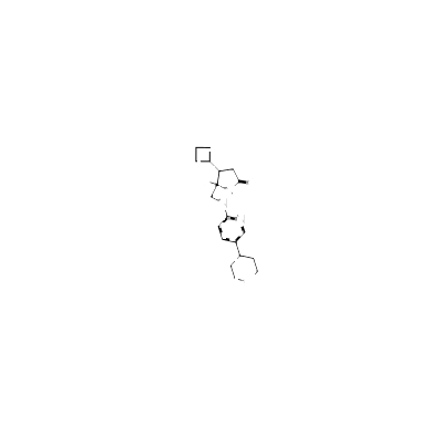 CC12CN(c3ccc(C4CCOCC4)cn3)N1C(=O)CC2C1CCC1